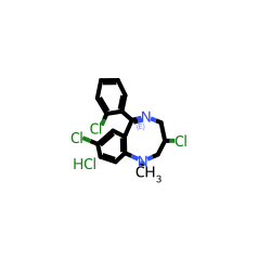 CN1CC(Cl)C/N=C(/c2ccccc2Cl)c2cc(Cl)ccc21.Cl